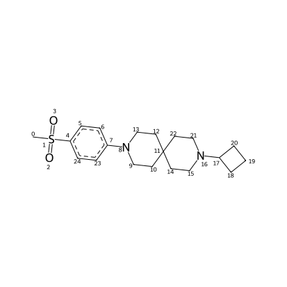 CS(=O)(=O)c1ccc(N2CCC3(CC2)CCN(C2CCC2)CC3)cc1